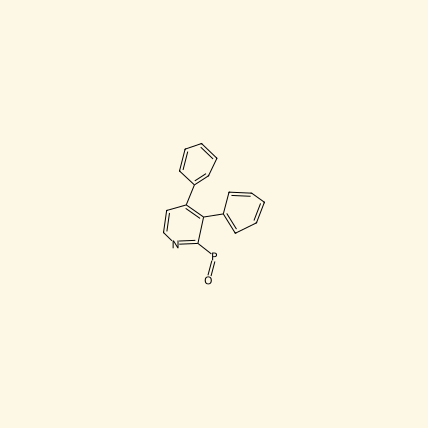 O=Pc1nccc(-c2ccccc2)c1-c1ccccc1